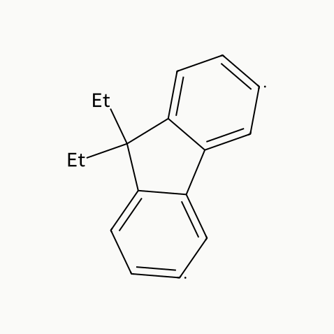 CCC1(CC)c2cc[c]cc2-c2c[c]ccc21